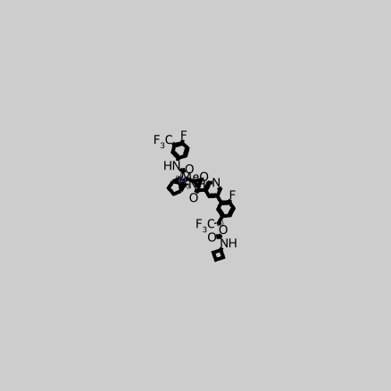 COc1ncc(-c2cc([C@H](OC(=O)NC3CCC3)C(F)(F)F)ccc2F)cc1C(=O)N[C@@H]1C2CCC(/C2=C/C2CC2)[C@@H]1C(=O)Nc1ccc(F)c(C(F)(F)F)c1